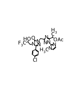 CC(=O)OC(C)c1nc(Cn2nc(-c3ccc(Cl)cc3)n(C[C@H](O)C(F)(F)F)c2=O)nn1-c1nccn1C